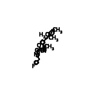 CN1CCN(C(C)(C)C#Cc2ccc3c(c2)N(C)C(=O)[C@H](NC(=O)n2cc(Cc4ccc(F)cc4)cn2)CO3)CC1